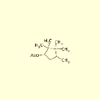 CC(=O)OC1CC(C)C(C)(C)C1(C)C